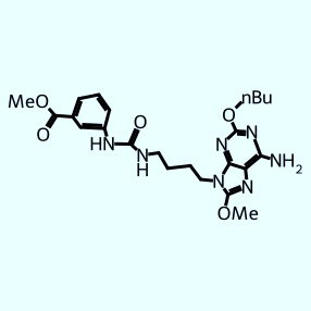 CCCCOc1nc(N)c2nc(OC)n(CCCCNC(=O)Nc3cccc(C(=O)OC)c3)c2n1